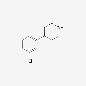 Clc1cccc([C]2CCNCC2)c1